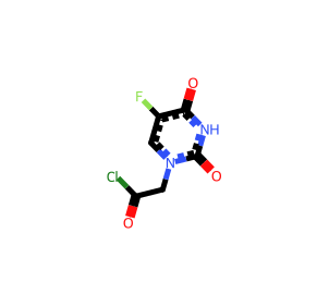 O=C(Cl)Cn1cc(F)c(=O)[nH]c1=O